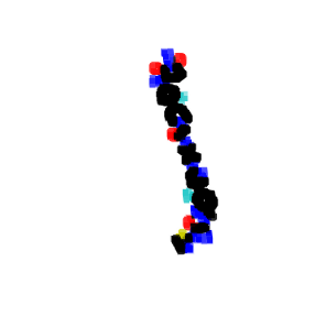 O=C1CC[C@H](Nc2ccc(C3CCN(CC(=O)N4CC5(C4)CN(c4ccc(-c6ccc7cn(CC(=O)Nc8nccs8)nc7c6F)cn4)C5)CC3)c(F)c2)C(=O)N1